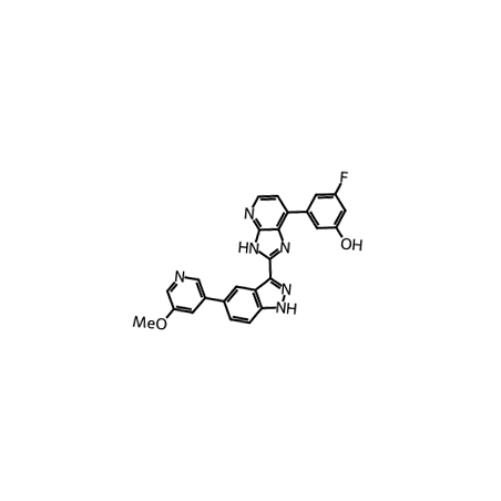 COc1cncc(-c2ccc3[nH]nc(-c4nc5c(-c6cc(O)cc(F)c6)ccnc5[nH]4)c3c2)c1